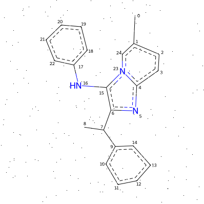 Cc1ccc2nc(C(C)c3ccccc3)c(Nc3ccccc3)n2c1